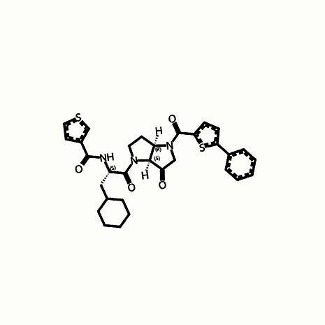 O=C(N[C@@H](CC1CCCCC1)C(=O)N1CC[C@@H]2[C@H]1C(=O)CN2C(=O)c1ccc(-c2ccccc2)s1)c1ccsc1